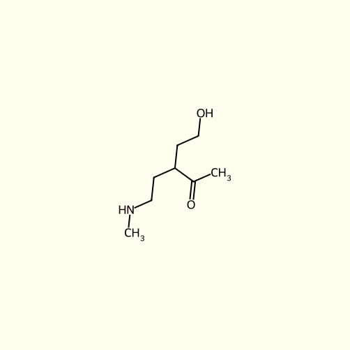 CNCCC(CCO)C(C)=O